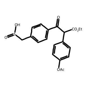 CCOC(=O)C(C(=O)c1ccc(CS(=O)O)cc1)c1ccc(OC(C)=O)cc1